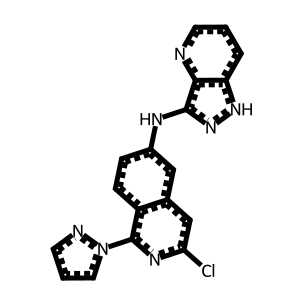 Clc1cc2cc(Nc3n[nH]c4cccnc34)ccc2c(-n2cccn2)n1